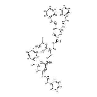 CC(O)CC(=O)N(CCNC(=O)OC(COCc1ccccc1)COCc1ccccc1)CCNC(=O)OC(COCc1ccccc1)COCc1ccccc1